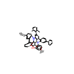 Cc1cccc(C)c1-c1cc2c3c(c1)N(c1ccc(C(C)(C)C)cc1-c1ccccc1)c1ccc4oc5ccccc5c4c1B3N(c1ccc(C(C)(C)C)cc1)c1cc(-c3ccccc3)ccc1-2